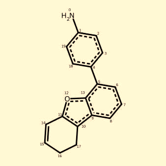 Nc1ccc(-c2cccc3c4c(oc23)C=CCC4)cc1